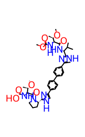 COC(=O)N[C@H](C(=O)N[C@@H](c1nc(-c2ccc(-c3ccc(-c4c[nH]c([C@@H]5CCCN5C(=O)[C@@H](NC(=O)O)[C@@H](C)OC)n4)cc3)cc2)c[nH]1)C(C)C)[C@@H](C)OC